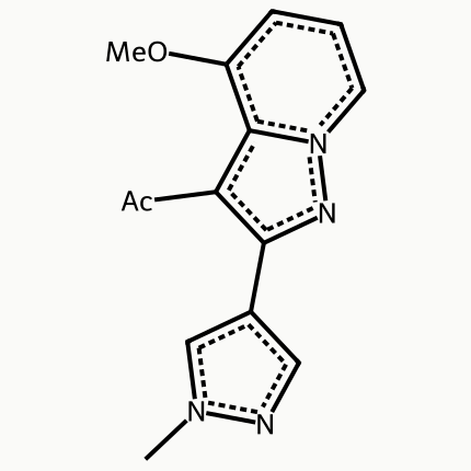 COc1cccn2nc(-c3cnn(C)c3)c(C(C)=O)c12